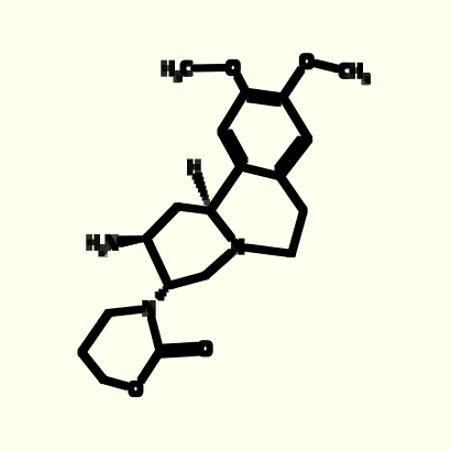 COc1cc2c(cc1OC)[C@@H]1C[C@H](N)[C@@H](N3CCCOC3=O)CN1CC2